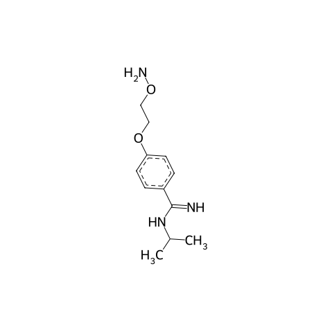 CC(C)NC(=N)c1ccc(OCCON)cc1